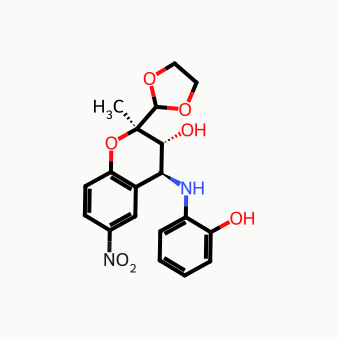 C[C@@]1(C2OCCO2)Oc2ccc([N+](=O)[O-])cc2[C@H](Nc2ccccc2O)[C@H]1O